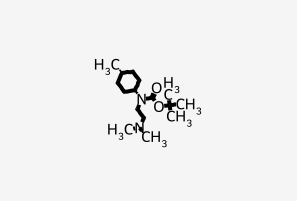 CN(C)CCN(C(=O)OC(C)(C)C)[C@H]1CC[C@H](C)CC1